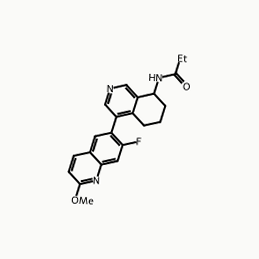 CCC(=O)NC1CCCc2c(-c3cc4ccc(OC)nc4cc3F)cncc21